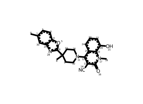 Cc1ccc2oc(C3(C)CCN(c4c(C#N)c(=O)n(C)c5c(O)cccc45)CC3)nc2c1